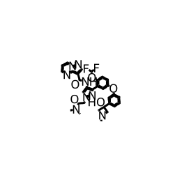 CN1CC(O)(c2cccc(Oc3ccc(OC(F)F)c(-c4nn(CC(=O)N(C)C)cc4NC(=O)c4cnn5cccnc45)c3)c2)C1